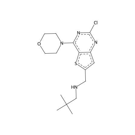 CC(C)(C)CNCc1cc2nc(Cl)nc(N3CCOCC3)c2s1